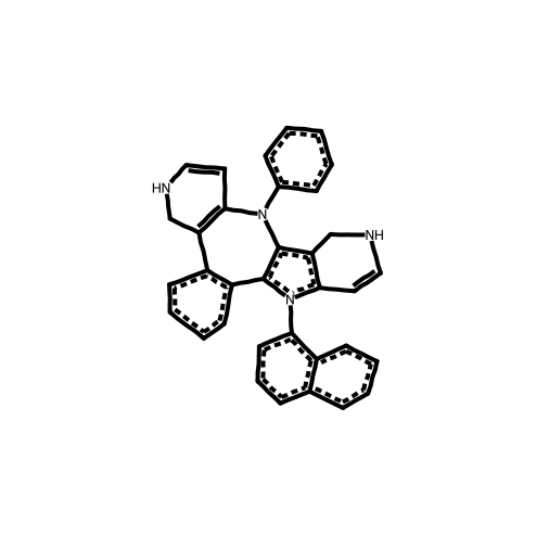 C1=CC2=C(CN1)c1ccccc1-c1c(c3c(n1-c1cccc4ccccc14)C=CNC3)N2c1ccccc1